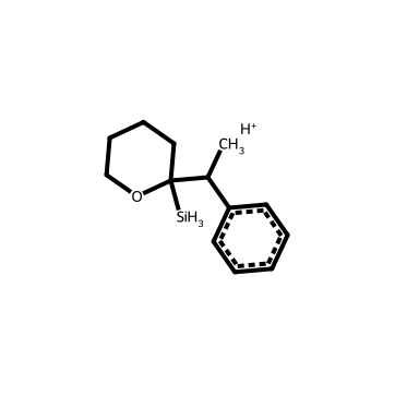 C[C](c1ccccc1)C1([SiH3])CCCCO1.[H+]